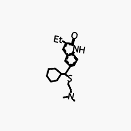 CCc1cc2cc(C(SCCN(C)C)C3CCCCC3)ccc2[nH]c1=O